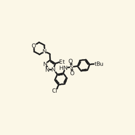 CCc1c(CN2CCOCC2)nnn1-c1cc(Cl)ccc1NS(=O)(=O)c1ccc(C(C)(C)C)cc1